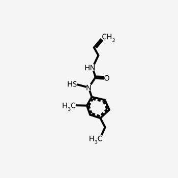 C=CCNC(=O)N(S)c1ccc(CC)cc1C